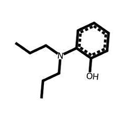 CCCN(CCC)c1ccccc1O